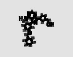 Nc1ncnn2c(C3CCC(CO)C3)nc(-c3cccc(OCc4ccccc4)c3)c12